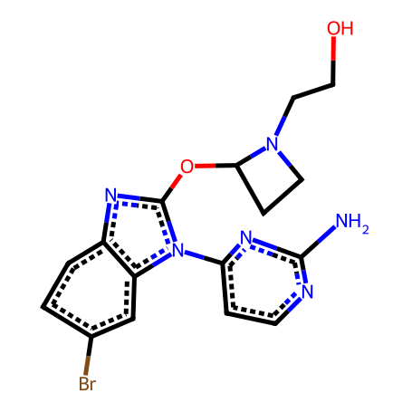 Nc1nccc(-n2c(OC3CCN3CCO)nc3ccc(Br)cc32)n1